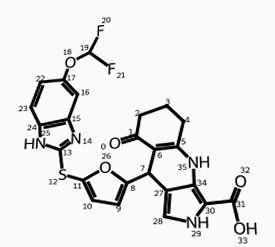 O=C1CCCC2=C1C(c1ccc(Sc3nc4cc(OC(F)F)ccc4[nH]3)o1)c1c[nH]c(C(=O)O)c1N2